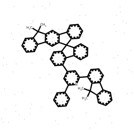 CC1(C)c2ccccc2-c2cc3c(cc21)-c1ccccc1C31c2ccccc2-c2c(-c3cc(-c4ccccc4)nc(-c4cccc5c4C(C)(C)c4ccccc4-5)c3)cccc21